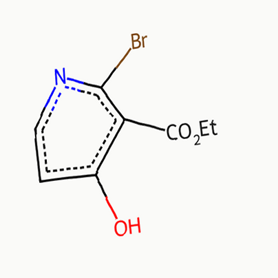 CCOC(=O)c1c(O)ccnc1Br